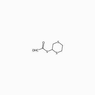 O=CC(=O)SC1CSCCS1